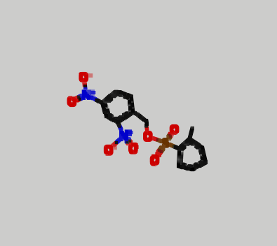 Cc1ccccc1S(=O)(=O)OCc1ccc([N+](=O)[O-])cc1[N+](=O)[O-]